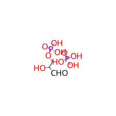 O=CC(O)COP(=O)(O)O.O=P(O)(O)O